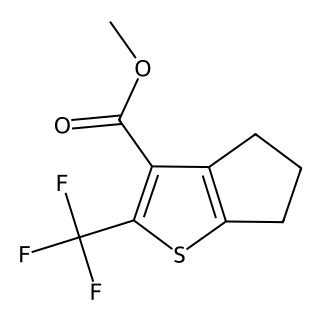 COC(=O)c1c(C(F)(F)F)sc2c1CCC2